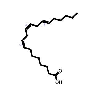 CCCCC/C=C/C/C=C\C/C=C\CCCCCCC(=O)O